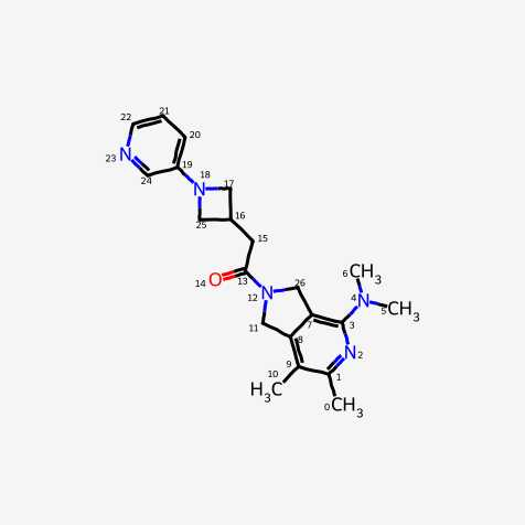 Cc1nc(N(C)C)c2c(c1C)CN(C(=O)CC1CN(c3cccnc3)C1)C2